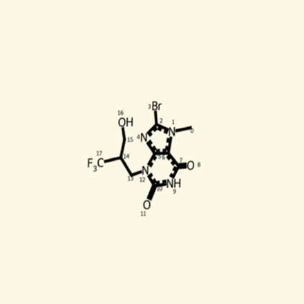 Cn1c(Br)nc2c1c(=O)[nH]c(=O)n2CC(CO)C(F)(F)F